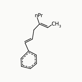 CC=C(CC=Cc1ccccc1)CCC